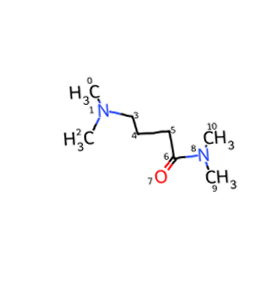 CN(C)CCCC(=O)N(C)C